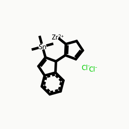 [CH3][Sn]([CH3])([CH3])[C]1=Cc2ccccc2C1C1=[C]([Zr+2])CC=C1.[Cl-].[Cl-]